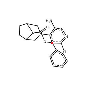 Nc1nnc(Cl)cc1N1CC2CCC(C1)N2C(=O)OCc1ccccc1